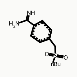 CCCCS(=O)(=O)Cc1ccc(C(=N)N)cc1